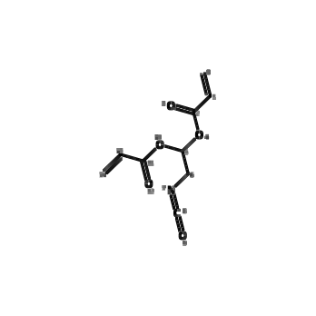 C=CC(=O)OC(CN=C=O)OC(=O)C=C